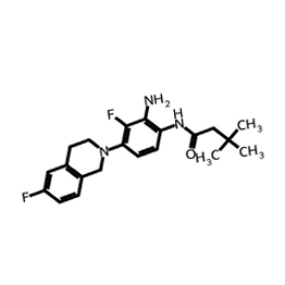 CC(C)(C)CC(=O)Nc1ccc(N2CCc3cc(F)ccc3C2)c(F)c1N